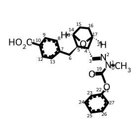 CN(N=C[C@@H]1[C@@H](Cc2ccc(C(=O)O)cc2)[C@H]2CC[C@@H]1O2)C(=O)Oc1ccccc1